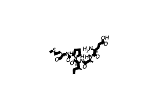 CC[C@H](C)[C@H](NC(=O)[C@H](C)NC(=O)[C@@H](N)CCC(=O)O)C(=O)N1CCC[C@H]1C(=O)N[C@H]([C]=O)CCSC